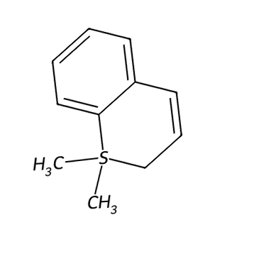 CS1(C)CC=Cc2ccccc21